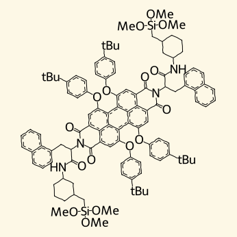 CO[Si](CC1CCCC(NC(=O)C(Cc2cccc3ccccc23)N2C(=O)c3cc(Oc4ccc(C(C)(C)C)cc4)c4c5c(Oc6ccc(C(C)(C)C)cc6)cc6c7c(cc(Oc8ccc(C(C)(C)C)cc8)c(c8c(Oc9ccc(C(C)(C)C)cc9)cc(c3c48)C2=O)c75)C(=O)N(C(Cc2cccc3ccccc23)C(=O)NC2CCCC(C[Si](OC)(OC)OC)C2)C6=O)C1)(OC)OC